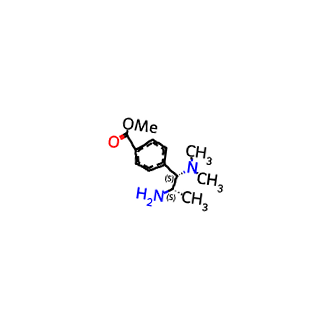 COC(=O)c1ccc([C@@H]([C@H](C)N)N(C)C)cc1